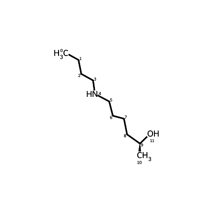 CCCCNCCCC[C@H](C)O